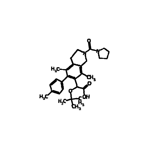 Cc1ccc(-c2c(C)c3c(c(C)c2C(OC(C)(C)C)C(=O)O)CN(C(=O)N2CCCC2)CC3)cc1